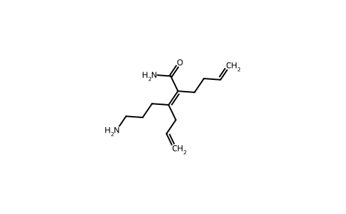 C=CCCC(C(N)=O)=C(CC=C)CCCN